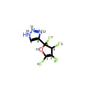 FC1=C(F)C(F)C(F)(c2c[nH]nn2)O1